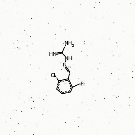 CC(C)c1cccc(Cl)c1/C=N/NC(=N)N